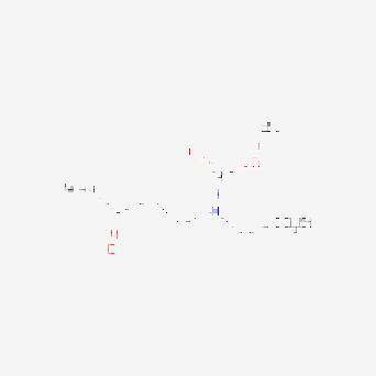 CCOC(=O)CN(CCC(=O)OC)C(=O)OC(C)(C)C